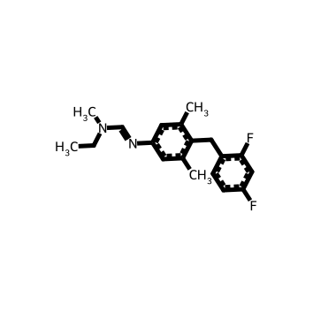 CCN(C)C=Nc1cc(C)c(Cc2ccc(F)cc2F)c(C)c1